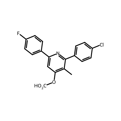 Cc1c(OC(=O)O)cc(-c2ccc(F)cc2)nc1-c1ccc(Cl)cc1